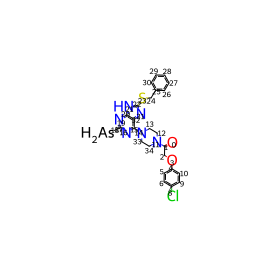 O=C(COc1ccc(Cl)cc1)N1CCN(c2nc([AsH2])nc3[nH]c(SCc4ccccc4)nc23)CC1